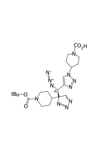 CC(C)(C)OC(=O)N1CCC(C2([C@@H](N=[N+]=[N-])c3cn(C4CCN(C(=O)O)CC4)nn3)C=NN=N2)CC1